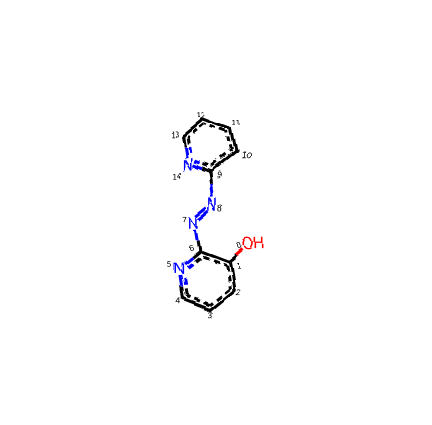 Oc1cccnc1N=Nc1ccccn1